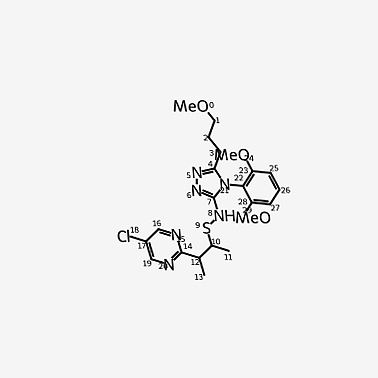 COCCCc1nnc(NSC(C)C(C)c2ncc(Cl)cn2)n1-c1c(OC)cccc1OC